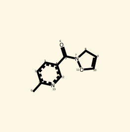 Cc1ccc(C(=O)N2CC=CO2)cn1